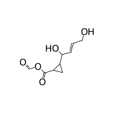 O=COC(=O)C1CC1C(O)C=CCO